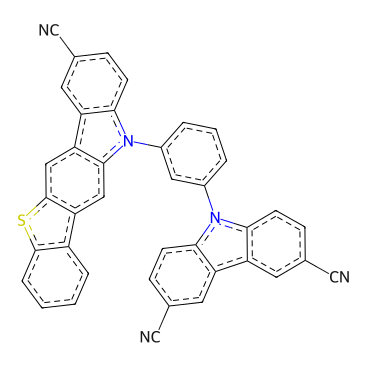 N#Cc1ccc2c(c1)c1cc(C#N)ccc1n2-c1cccc(-n2c3ccc(C#N)cc3c3cc4sc5ccccc5c4cc32)c1